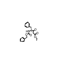 CCOC(=O)CC(=O)[C@H](Cc1ccccc1)NC(=O)OCc1ccccc1